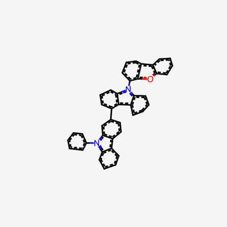 c1ccc(-n2c3ccccc3c3ccc(-c4cccc5c4c4ccccc4n5-c4cccc5c4oc4ccccc45)cc32)cc1